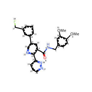 COc1ccc(CNC(=O)c2cc(-c3cccc(CF)c3)cnc2-c2cccnn2)cc1OC